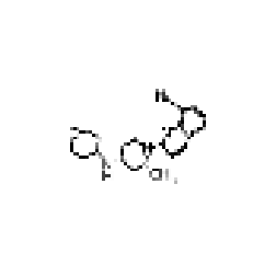 C[C@@H]1C[C@H](NC2CCOCC2)CCN1c1ccc2cccc(C#N)c2n1